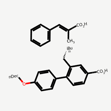 CC(=Cc1ccccc1)C(=O)O.CCCCCCCCCCOc1ccc(-c2ccc(C(=O)O)cc2C[C@@H](C)CC)cc1